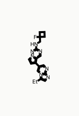 CCc1cnc2ncc(-c3ccn4nc(NCC5(F)CCC5)ncc34)cn12